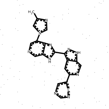 Cc1cn(-c2cncc3[nH]c(-c4n[nH]c5cnc(-c6cncnc6)cc45)nc23)cn1